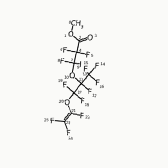 COC(=O)C(F)(F)C(F)(I)OC(F)(C(F)(F)F)C(F)(F)OC(F)=C(F)F